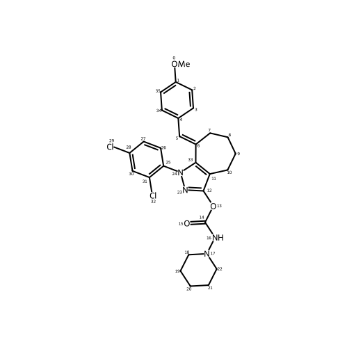 COc1ccc(/C=C2\CCCCc3c(OC(=O)NN4CCCCC4)nn(-c4ccc(Cl)cc4Cl)c32)cc1